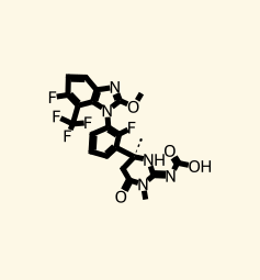 COc1nc2ccc(F)c(C(F)(F)F)c2n1-c1cccc([C@]2(C)CC(=O)N(C)/C(=N/C(=O)O)N2)c1F